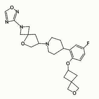 Fc1ccc(OC2CC3(COC3)C2)c(C2CCN(C3COC4(C3)CN(c3ncon3)C4)CC2)c1